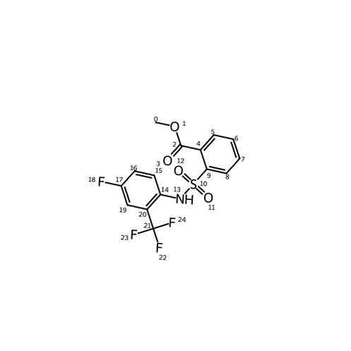 COC(=O)c1ccccc1S(=O)(=O)Nc1ccc(F)cc1C(F)(F)F